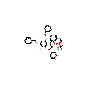 CC(C)(C)[Si](C)(C)O[C@@]1(Cc2ccccc2)C(Cc2ccccc2)c2c(OCc3ccccc3)cc(OCc3ccccc3)c(Br)c2O[C@@H]1c1ccc(O)c(O)c1